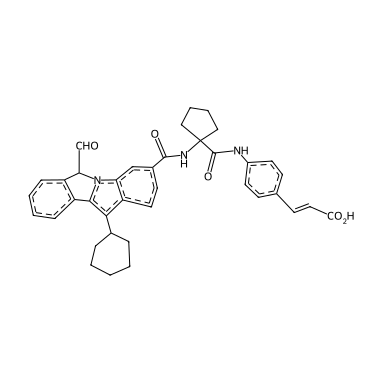 O=CC1c2ccccc2-c2c(C3CCCCC3)c3ccc(C(=O)NC4(C(=O)Nc5ccc(/C=C/C(=O)O)cc5)CCCC4)cc3n21